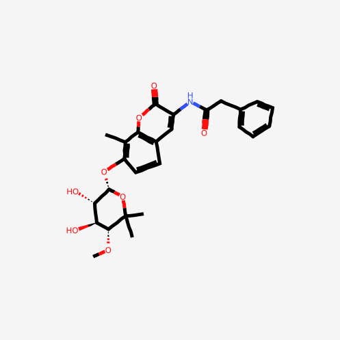 CO[C@@H]1[C@@H](O)[C@H](O)[C@H](Oc2ccc3cc(NC(=O)Cc4ccccc4)c(=O)oc3c2C)OC1(C)C